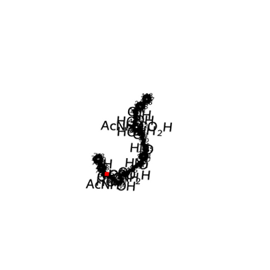 CC(=O)NC1[C@H]([C@H](O)[C@H](O)CNC(=O)c2ccc(-c3ccccc3)cc2)O[C@@](NC(=O)CCCCCNC(=O)c2ccc(C(=O)NCCCCCC(=O)N[C@]3(C(=O)O)C[C@H](O)[C@@H](NC(C)=O)[C@H]([C@H](O)[C@H](O)CNC(=O)c4ccc(-c5ccccc5)cc4)O3)cc2)(C(=O)O)C[C@@H]1O